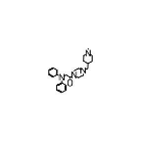 CN1CCC(CN2CCN(C(=O)CN(c3ccccc3)c3ccccc3)CC2)CC1